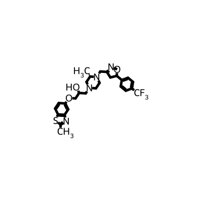 Cc1nc2cc(OCC(O)CN3CCN(CC4=NOC(c5ccc(C(F)(F)F)cc5)C4)[C@@H](C)C3)ccc2s1